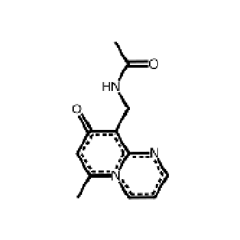 CC(=O)NCc1c(=O)cc(C)n2cccnc12